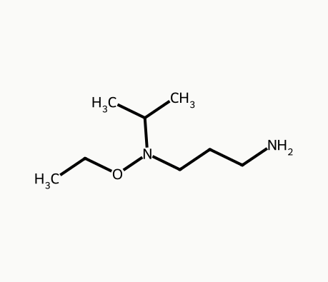 CCON(CCCN)C(C)C